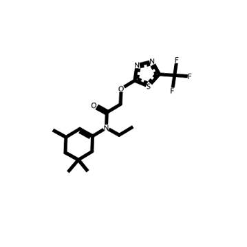 CCN(C(=O)COc1nnc(C(F)(F)F)s1)C1=CC(C)CC(C)(C)C1